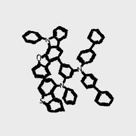 c1ccc(-c2ccc(N(c3ccc(-c4ccccc4)cc3)c3cc(-c4cc5c6ccccc6n(-c6ccccc6)c5c5oc6ccccc6c45)cc(N(c4ccccc4)c4cccc5sc6ccccc6c45)c3)cc2)cc1